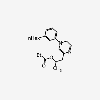 CCCCCCc1cccc(N2C=C(CC(C)OC(=O)CC)N=CC2)c1